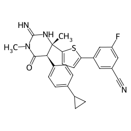 CN1C(=N)N[C@](C)(c2ccc(-c3cc(F)cc(C#N)c3)s2)[C@@H](c2ccc(C3CC3)cc2)C1=O